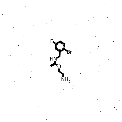 C=C(NCc1cc(F)ccc1Br)OCCN